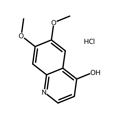 COc1cc2nccc(O)c2cc1OC.Cl